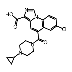 O=C(O)c1ncn2c1cc(C(=O)N1CCN(C3CC3)CC1)c1cc(Cl)ccc12